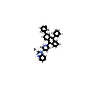 CCc1nc2ccccc2n1-c1ccc(-c2c3ccccc3c(-c3ccccc3)c3cc(-c4ccccc4)ccc23)nc1